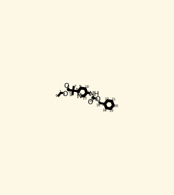 CCOC(=O)C(C)(C)c1ccc(NC(=O)OCc2ccccc2)cn1